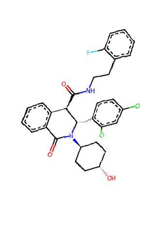 O=C(NCCc1ccccc1F)[C@@H]1c2ccccc2C(=O)N([C@H]2CC[C@H](O)CC2)[C@H]1c1ccc(Cl)cc1Cl